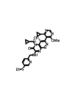 CCSc1ccc(CNc2nc3nnc(-c4c(OC)ncnc4C4CC4)cc3n([C@@H](C)C3CC3)c2=O)nc1